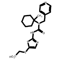 CC1(N(Cc2ccncc2)C(=O)Nc2ncc(SCC(=O)O)s2)CCCCC1